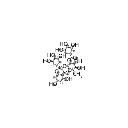 CC1OC(Oc2c(-c3cc(O)c(O)c(O)c3)oc3cc(O)cc(O)c3c2=O)C(OC(=O)c2cc(O)c(O)c(O)c2)C(O)C1O